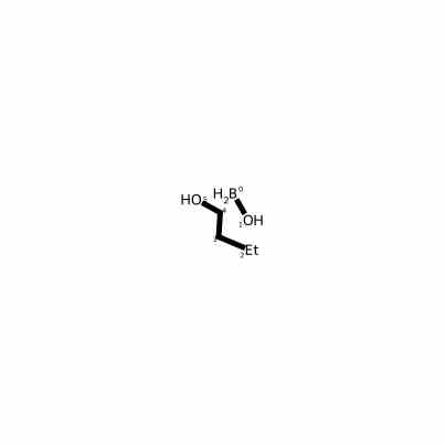 BO.CCCCO